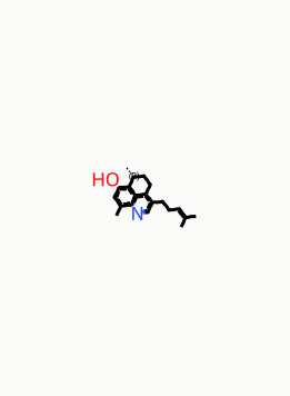 CC(C)=CCCc1cnc2c(C)cc(O)c3c2c1CC[C@H]3C